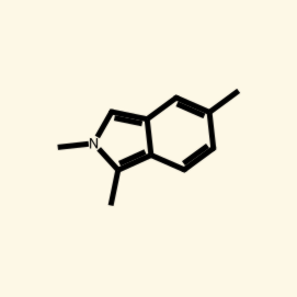 Cc1ccc2c(C)n(C)cc2c1